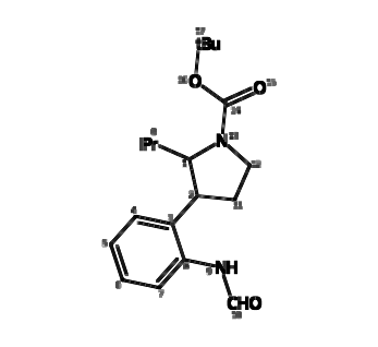 CC(C)C1C(c2ccccc2NC=O)CCN1C(=O)OC(C)(C)C